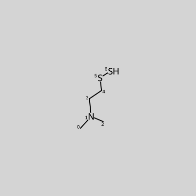 CN(C)CCSS